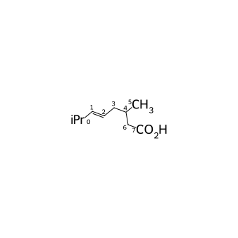 CC(C)/C=C/CC(C)CC(=O)O